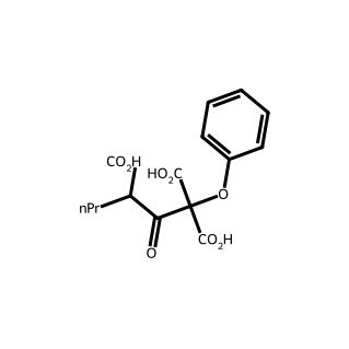 CCCC(C(=O)O)C(=O)C(Oc1ccccc1)(C(=O)O)C(=O)O